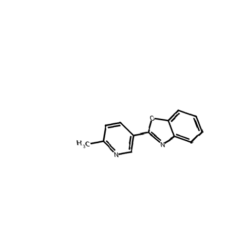 Cc1ccc(-c2nc3ccccc3o2)cn1